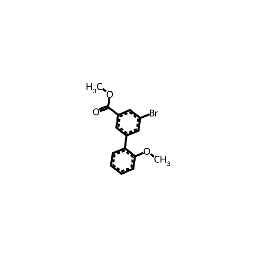 COC(=O)c1cc(Br)cc(-c2ccccc2OC)c1